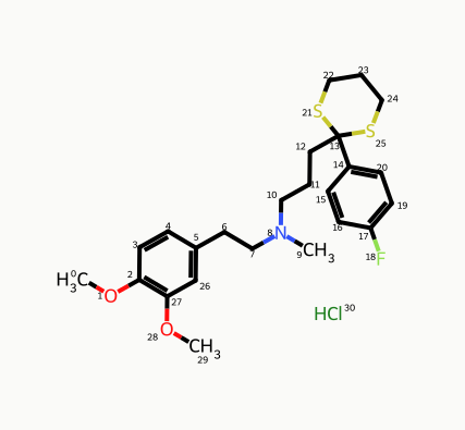 COc1ccc(CCN(C)CCCC2(c3ccc(F)cc3)SCCCS2)cc1OC.Cl